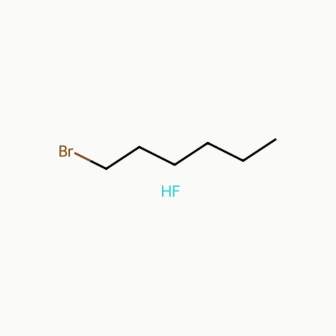 CCCCCCBr.F